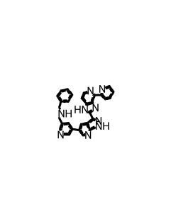 c1ccc(CNCc2cncc(-c3cnc4[nH]nc(-c5nc6c(-c7ccccn7)nccc6[nH]5)c4c3)c2)cc1